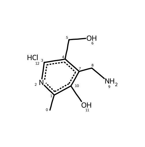 Cc1ncc(CO)c(CN)c1O.Cl